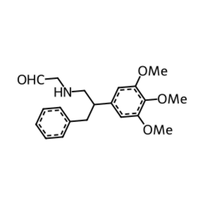 COc1cc(C(CNCC=O)Cc2ccccc2)cc(OC)c1OC